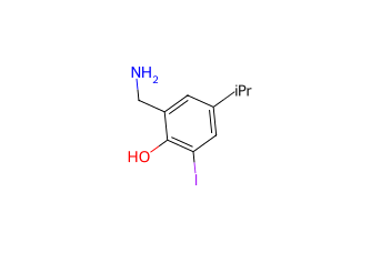 CC(C)c1cc(I)c(O)c(CN)c1